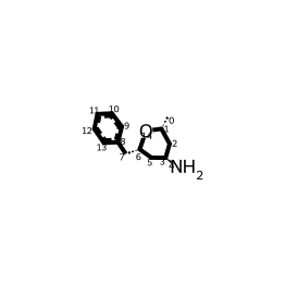 C[C@@H]1C[C@H](N)C[C@H](Cc2ccccc2)O1